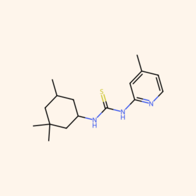 Cc1ccnc(NC(=S)NC2CC(C)CC(C)(C)C2)c1